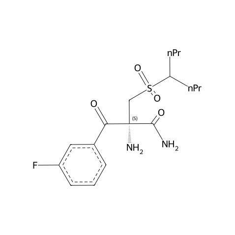 CCCC(CCC)S(=O)(=O)C[C@@](N)(C(N)=O)C(=O)c1cccc(F)c1